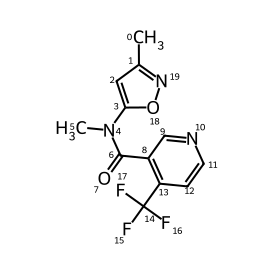 Cc1cc(N(C)C(=O)c2cnccc2C(F)(F)F)on1